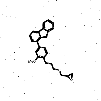 COc1cc(-c2cccc3c2Cc2ccccc2-3)ccc1CCCOCC1CO1